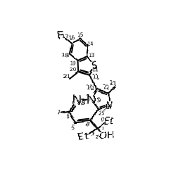 CCC(O)(CC)c1cc(C)nn2c(-c3sc4ccc(F)cc4c3C)c(C)nc12